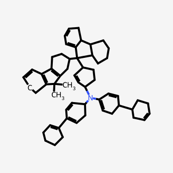 CC1(C)C2=C(C=CCC2)C2=C1CC(C1(C3C=CC(N(C4=CCC(C5CC=CCC5)C=C4)C4C=CC(C5=CCCCC5)=CC4)CC3)C3=CC=CCC3C3CCCCC31)CC2